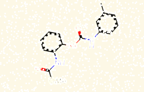 COC(=O)Nc1ccccc1OC(=O)Nc1cccc(C)c1